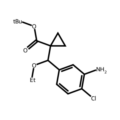 CCOC(c1ccc(Cl)c(N)c1)C1(C(=O)OC(C)(C)C)CC1